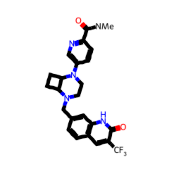 CNC(=O)c1ccc(N2CCN(Cc3ccc4cc(C(F)(F)F)c(=O)[nH]c4c3)C3CCC32)cn1